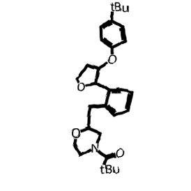 CC(C)(C)C(=O)N1CCOC(Cc2ccccc2C2OCCC2Oc2ccc(C(C)(C)C)cc2)C1